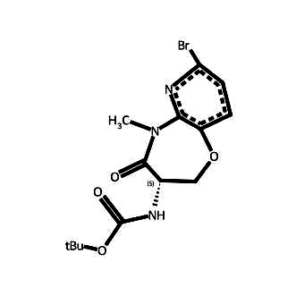 CN1C(=O)[C@@H](NC(=O)OC(C)(C)C)COc2ccc(Br)nc21